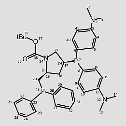 CN(C)c1ccc(P(c2ccc(N(C)C)cc2)[C@H]2C[C@@H](CP(c3ccccc3)c3ccccc3)N(C(=O)OC(C)(C)C)C2)cc1